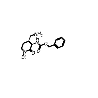 CCN1CC[C@@H](CN)[C@@H](NC(=O)OCc2ccccc2)C1=O